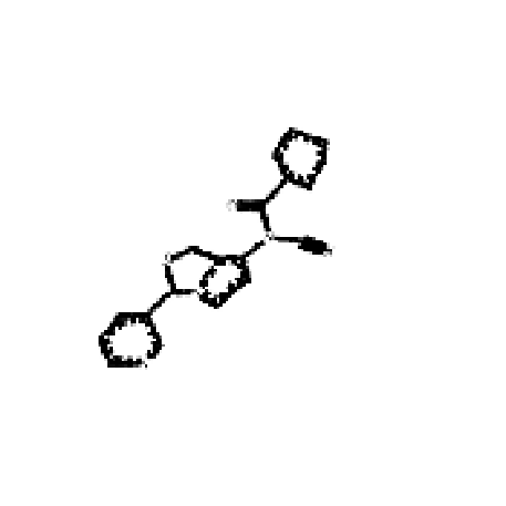 N#CN(C(=O)c1ccccc1)c1ccn2c1CSC2c1cccnc1